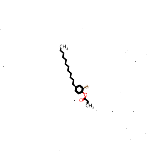 C=CC(=O)Oc1ccc(CCCCCCCCCCCC)cc1Br